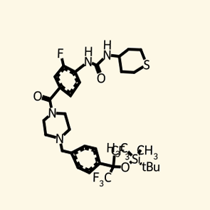 CC(C)(C)[Si](C)(C)OC(c1ccc(CN2CCN(C(=O)c3ccc(NC(=O)NC4CCSCC4)c(F)c3)CC2)cc1)(C(F)(F)F)C(F)(F)F